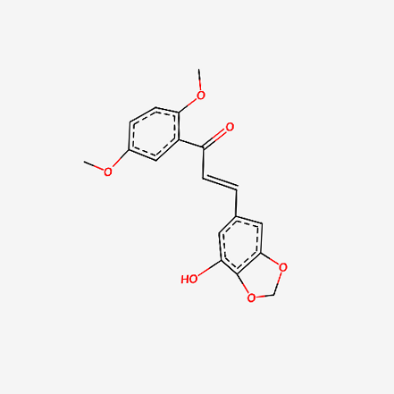 COc1ccc(OC)c(C(=O)/C=C/c2cc(O)c3c(c2)OCO3)c1